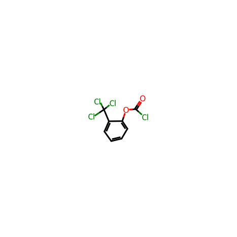 O=C(Cl)Oc1ccccc1C(Cl)(Cl)Cl